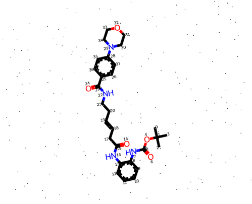 CC(C)(C)OC(=O)Nc1ccccc1NC(=O)C/C=C/CCNC(=O)c1ccc(N2CCOCC2)cc1